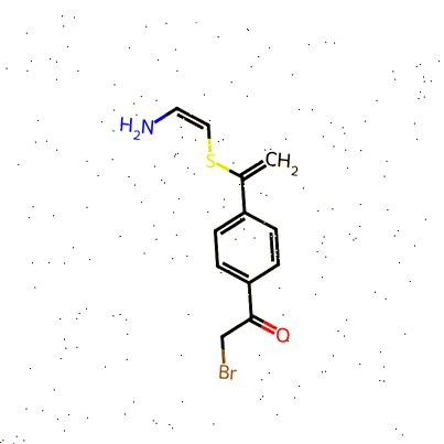 C=C(S/C=C\N)c1ccc(C(=O)CBr)cc1